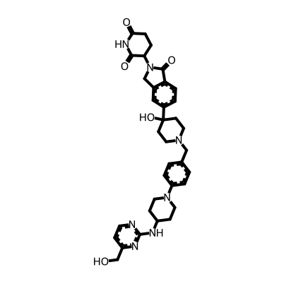 O=C1CCC(N2Cc3cc(C4(O)CCN(Cc5ccc(N6CCC(Nc7nccc(CO)n7)CC6)cc5)CC4)ccc3C2=O)C(=O)N1